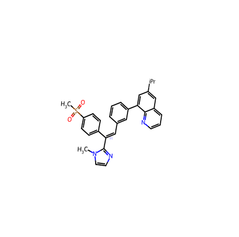 CC(C)c1cc(-c2cccc(/C=C(\c3ccc(S(C)(=O)=O)cc3)c3nccn3C)c2)c2ncccc2c1